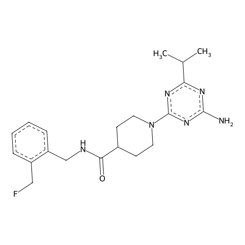 CC(C)c1nc(N)nc(N2CCC(C(=O)NCc3ccccc3CF)CC2)n1